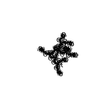 CCC(COC(=O)CCN1CCOCC1)(COC(=O)CCN1CCOCC1)COC(=O)CCN(CCCCCCN(CCC(=O)OCC(CC)(COC(=O)CCN1CCOCC1)COC(=O)CCN1CCOCC1)CCC(=O)OCC(CC)(COC(=O)CCN1CCOCC1)COC(=O)CCN1CCOCC1)CCC(=O)OCC(CC)(COC(=O)CCN1CCOCC1)COC(=O)CCN1CCOCC1